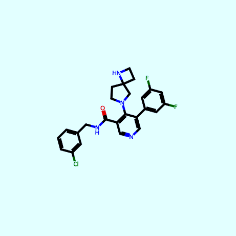 O=C(NCc1cccc(Cl)c1)c1cncc(-c2cc(F)cc(F)c2)c1N1CCC2(CCN2)C1